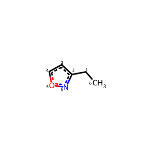 CCc1ccon1